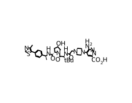 Cc1ncsc1-c1ccc([C@H](C)NC(=O)[C@@H]2C[C@@H](O)CN2C(=O)[C@@H](NC(=O)CN2CCN(c3cc(C(=O)O)nnc3N)CC2)C(C)(C)C)cc1